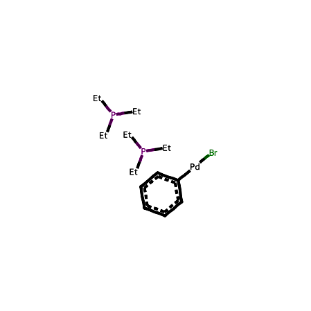 CCP(CC)CC.CCP(CC)CC.[Br][Pd][c]1ccccc1